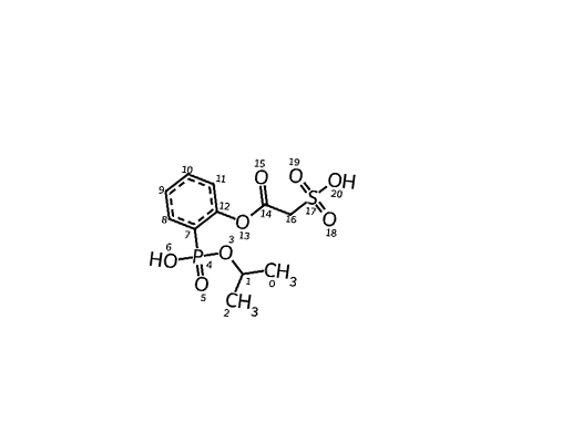 CC(C)OP(=O)(O)c1ccccc1OC(=O)CS(=O)(=O)O